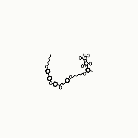 CCCCCCOc1ccc(-c2ccc(Oc3ccc(C(=O)/C=C/c4ccc(OCCCCCCOc5cc(C)cc(N6C(=O)C7C8C(=O)N(C)C(=O)C8C7C6=O)c5)cc4)cc3)cc2)cc1